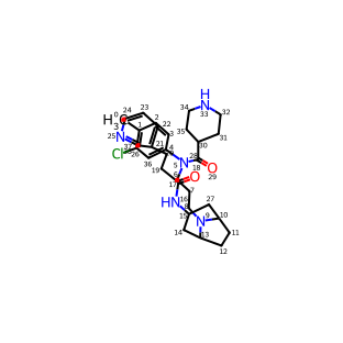 Cc1ccc(N(CCCN2C3CCC2CC(NC(=O)CCc2cccnc2)C3)C(=O)C2CCNCC2)cc1Cl